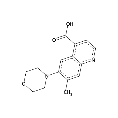 Cc1cc2nccc(C(=O)O)c2cc1N1CCOCC1